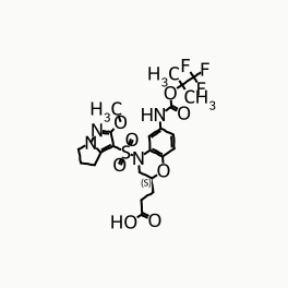 COc1nn2c(c1S(=O)(=O)N1C[C@H](CCC(=O)O)Oc3ccc(NC(=O)OC(C)(C)C(F)(F)F)cc31)CCC2